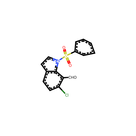 O=Cc1c(Cl)ccc2ccn(S(=O)(=O)c3ccccc3)c12